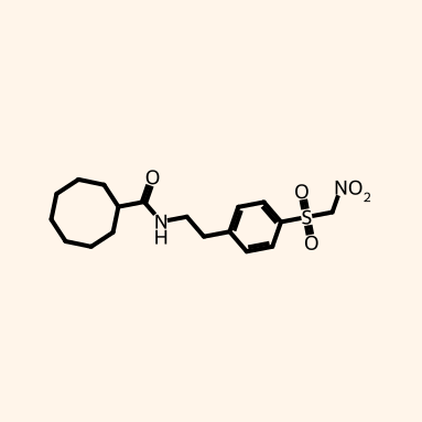 O=C(NCCc1ccc(S(=O)(=O)C[N+](=O)[O-])cc1)C1CCCCCCC1